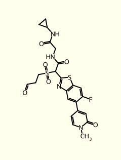 Cn1ccc(-c2cc3nc(C(C(=O)NCC(=O)NC4CC4)S(=O)(=O)CCC=O)sc3cc2F)cc1=O